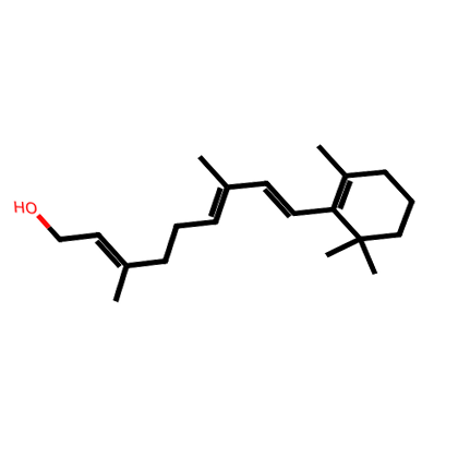 CC(C=CC1=C(C)CCCC1(C)C)=CCCC(C)=CCO